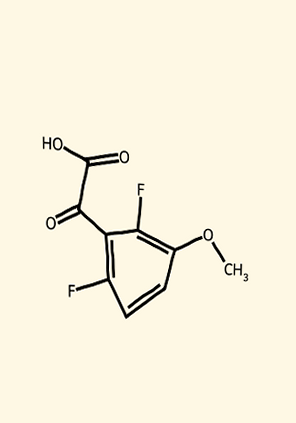 COc1ccc(F)c(C(=O)C(=O)O)c1F